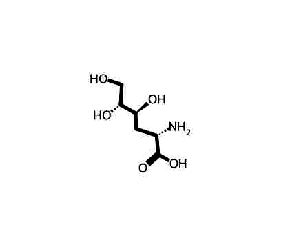 N[C@@H](C[C@H](O)[C@H](O)CO)C(=O)O